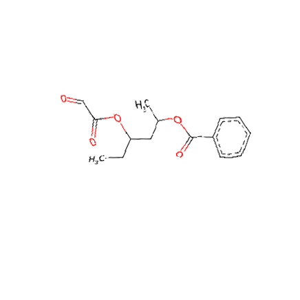 CCC(CC(C)OC(=O)c1ccccc1)OC(=O)C=O